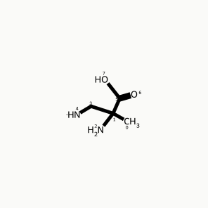 CC(N)(C[NH])C(=O)O